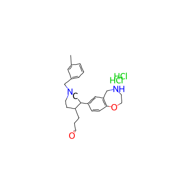 Cc1cccc(CN2CCC(CCC=O)C(c3ccc4c(c3)CNCCO4)C2)c1.Cl.Cl